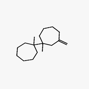 C=C1CCCCC(C)(C2(C)CCCCCC2)C1